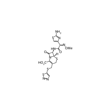 CO/N=C(\C(=O)N[C@@H]1C(=O)N2C(C(=O)O)=C(CSc3cnns3)CS[C@@H]12)c1csc(N)n1